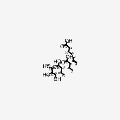 C=CC.CCCC(=O)O.CCCC(=O)O.CCCC(=O)O.OCC(O)CO